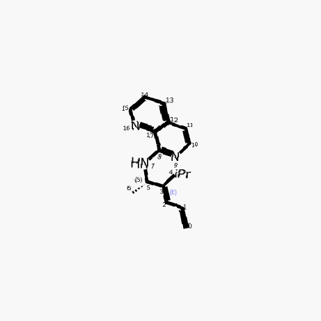 C=C/C=C(\C(C)C)[C@H](C)Nc1nccc2cccnc12